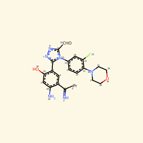 CC(C)C(=N)c1cc(-c2nnc(C=O)n2-c2ccc(N3CCOCC3)c(F)c2)c(O)cc1N